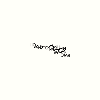 COc1cc(-c2[nH]c3ccc(OCC4CN(CC(C)(C)O)C4)nc3c2C(C)C)cn2ncnc12